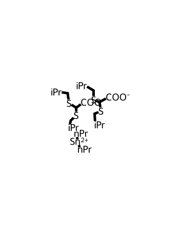 CC(C)CSC(SCC(C)C)C(=O)[O-].CC(C)CSC(SCC(C)C)C(=O)[O-].CC[CH2][Sn+2][CH2]CC